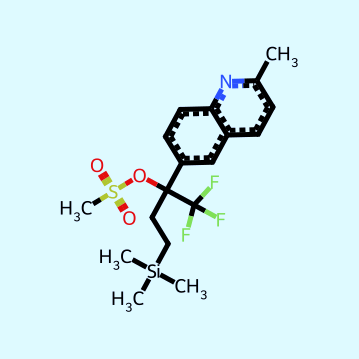 Cc1ccc2cc(C(CC[Si](C)(C)C)(OS(C)(=O)=O)C(F)(F)F)ccc2n1